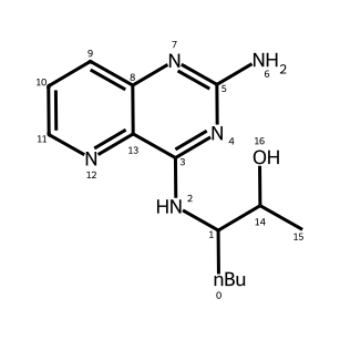 CCCCC(Nc1nc(N)nc2cccnc12)C(C)O